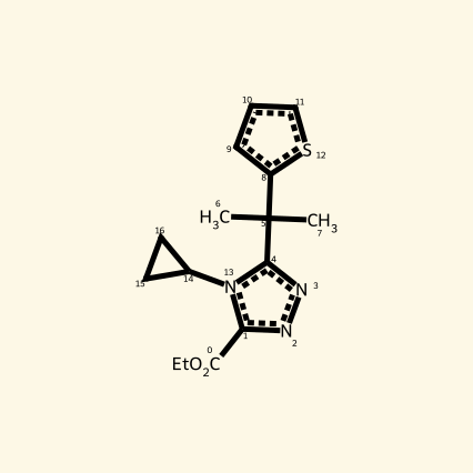 CCOC(=O)c1nnc(C(C)(C)c2cccs2)n1C1CC1